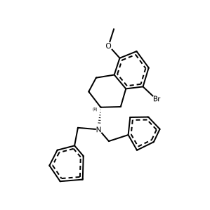 COc1ccc(Br)c2c1CC[C@@H](N(Cc1ccccc1)Cc1ccccc1)C2